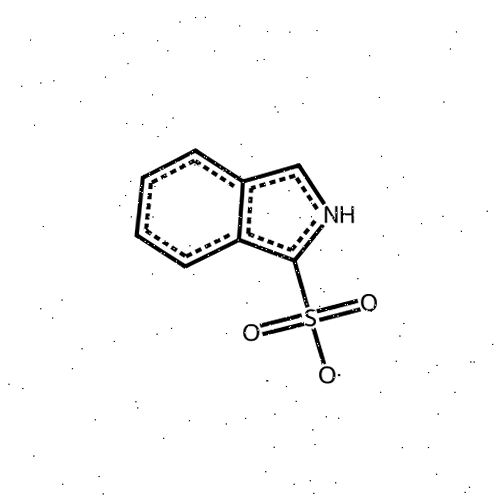 [O]S(=O)(=O)c1[nH]cc2ccccc12